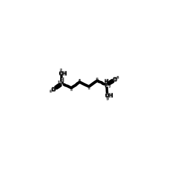 O=[PH](O)CCCC[PH](=O)O